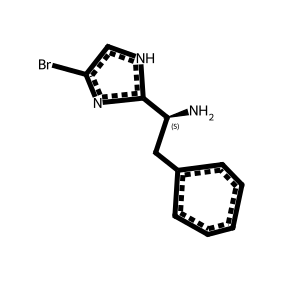 N[C@@H](Cc1ccccc1)c1nc(Br)c[nH]1